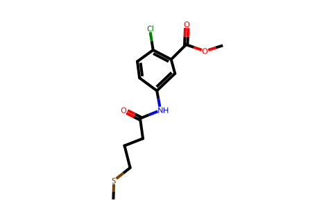 COC(=O)c1cc(NC(=O)CCCSC)ccc1Cl